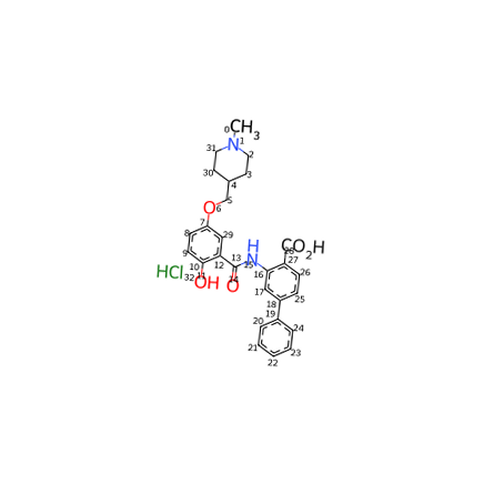 CN1CCC(COc2ccc(O)c(C(=O)Nc3cc(-c4ccccc4)ccc3C(=O)O)c2)CC1.Cl